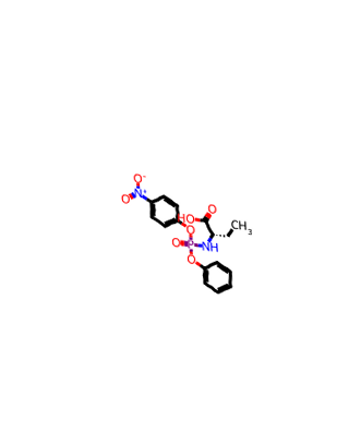 CC[C@H](NP(=O)(Oc1ccccc1)Oc1ccc([N+](=O)[O-])cc1)C(=O)O